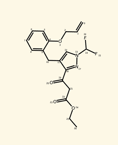 C=CCOc1ccccc1Cc1cn(C(F)F)nc1C(=O)CC(=O)OCC